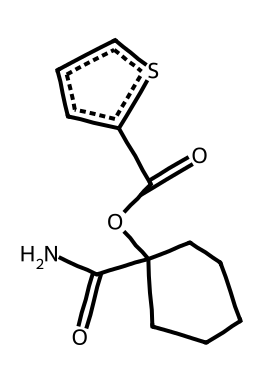 NC(=O)C1(OC(=O)c2cccs2)CCCCC1